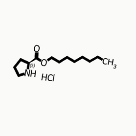 CCCCCCCCOC(=O)[C@@H]1CCCN1.Cl